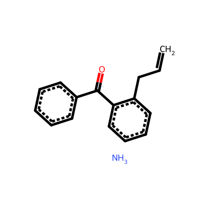 C=CCc1ccccc1C(=O)c1ccccc1.N